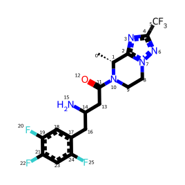 C[C@@H]1c2nc(C(F)(F)F)nn2CCN1C(=O)CC(N)Cc1cc(F)c(F)cc1F